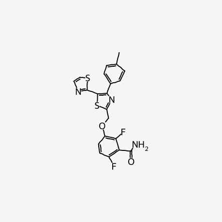 Cc1ccc(-c2nc(COc3ccc(F)c(C(N)=O)c3F)sc2-c2nccs2)cc1